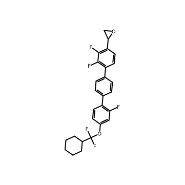 Fc1cc(OC(F)(F)C2CCCCC2)ccc1-c1ccc(-c2ccc(C3CO3)c(F)c2F)cc1